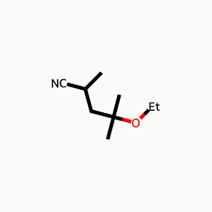 CCOC(C)(C)CC(C)C#N